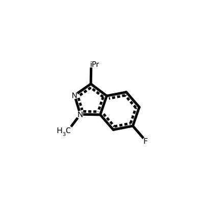 CC(C)c1nn(C)c2cc(F)ccc12